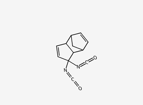 O=C=NC1(N=C=O)C=CC2C3C=CC(C3)C21